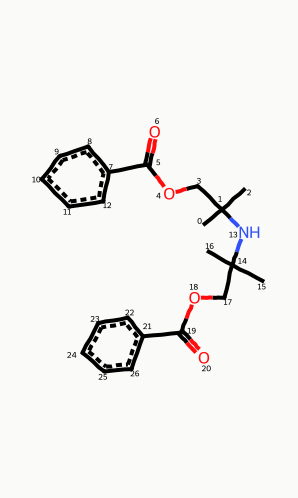 CC(C)(COC(=O)c1ccccc1)NC(C)(C)COC(=O)c1ccccc1